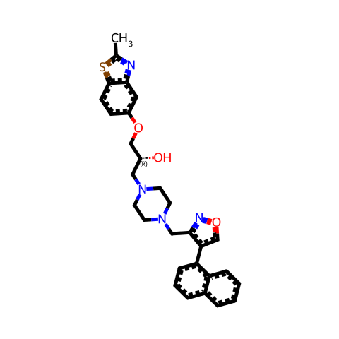 Cc1nc2cc(OC[C@H](O)CN3CCN(Cc4nocc4-c4cccc5ccccc45)CC3)ccc2s1